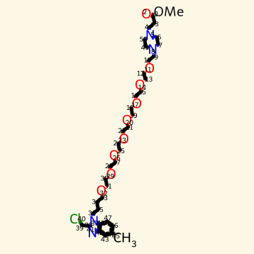 COC(=O)CCN1CCN(CCOCCOCCOCCOCCOCCOCCOCCOCCCCn2c(CCl)nc3cc(C)ccc32)CC1